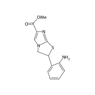 COC(=O)c1cn2c(n1)SC(c1ccccc1N)C2